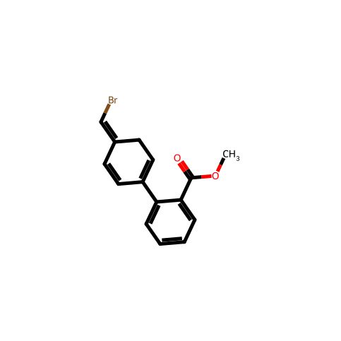 COC(=O)c1ccccc1C1=CCC(=CBr)C=C1